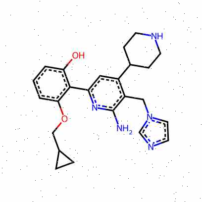 Nc1nc(-c2c(O)cccc2OCC2CC2)cc(C2CCNCC2)c1Cn1ccnc1